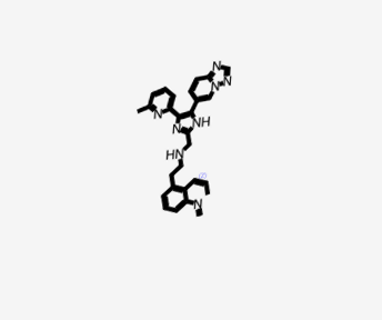 C=Nc1cccc(CCNCc2nc(-c3cccc(C)n3)c(-c3ccc4ncnn4c3)[nH]2)c1/C=C\C